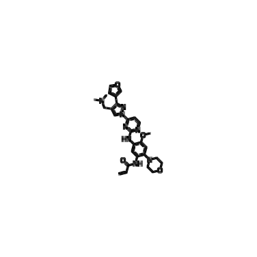 C=CC(=O)Nc1cc(Nc2nccc(-n3cc(CN(C)C)c(-c4ccoc4)n3)n2)c(OC)cc1N1CCOCC1